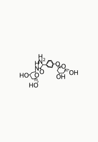 NC(C(=O)NC1CC(O)C[C@@H](CO)O1)c1ccc(O[C@H]2CC(O)C[C@@H](CO)O2)cc1